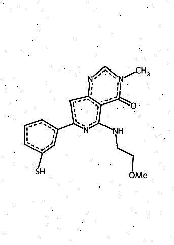 COCCNc1nc(-c2cccc(S)c2)cc2ncn(C)c(=O)c12